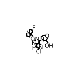 OCC1COCCN(c2nc(OCC34CCCN3C[C@H](F)C4)nc3c(F)c(Cl)ncc23)C1